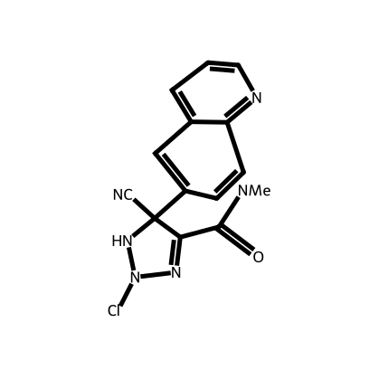 CNC(=O)C1=NN(Cl)NC1(C#N)c1ccc2ncccc2c1